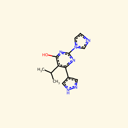 CC(C)c1c(O)nc(-n2ccnc2)nc1-c1cn[nH]c1